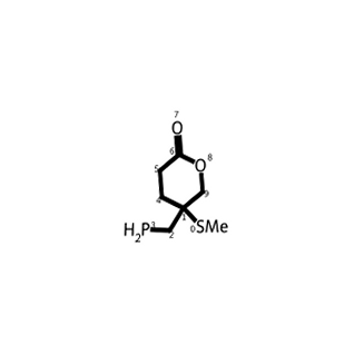 CSC1(CP)CCC(=O)OC1